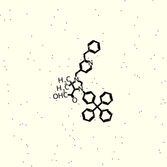 CC1(C)C(C(=O)C=O)N(c2ccc(C(c3ccccc3)(c3ccccc3)c3ccccc3)cc2)CN1Cc1ccnc(Cc2ccccc2)c1